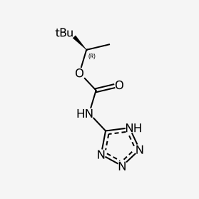 C[C@@H](OC(=O)Nc1nnn[nH]1)C(C)(C)C